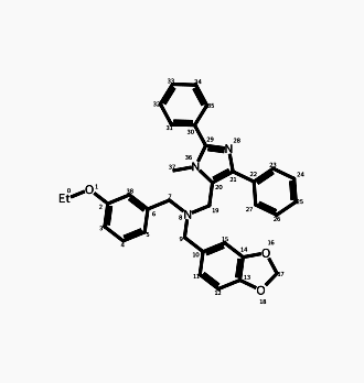 CCOc1cccc(CN(Cc2ccc3c(c2)OCO3)Cc2c(-c3ccccc3)nc(-c3ccccc3)n2C)c1